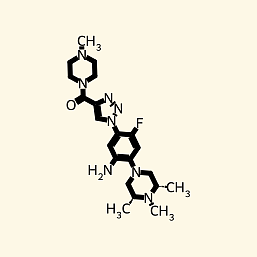 C[C@@H]1CN(c2cc(F)c(-n3cc(C(=O)N4CCN(C)CC4)nn3)cc2N)C[C@H](C)N1C